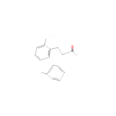 CCC(=O)CCc1ccccc1C(=O)O.CCc1ccccc1